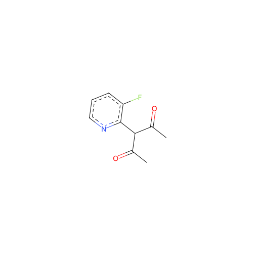 CC(=O)C(C(C)=O)c1ncccc1F